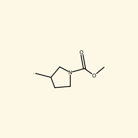 [CH2]C1CCN(C(=O)OC)C1